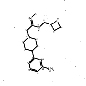 C/N=C(/CN1CCC(c2cccc(N)n2)CC1)NC[C@@H]1CCO1